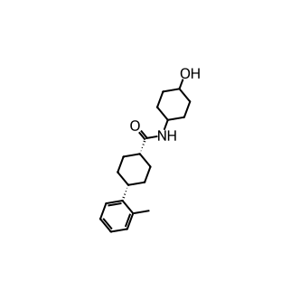 Cc1ccccc1[C@H]1CC[C@@H](C(=O)NC2CCC(O)CC2)CC1